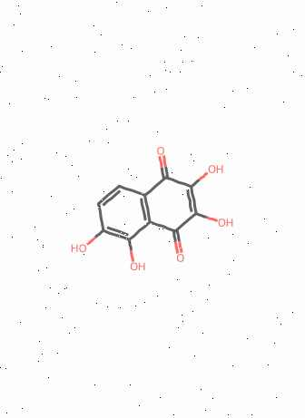 O=C1C(O)=C(O)C(=O)c2c1ccc(O)c2O